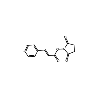 O=C(/C=C/c1c[c][c]cc1)ON1C(=O)CCC1=O